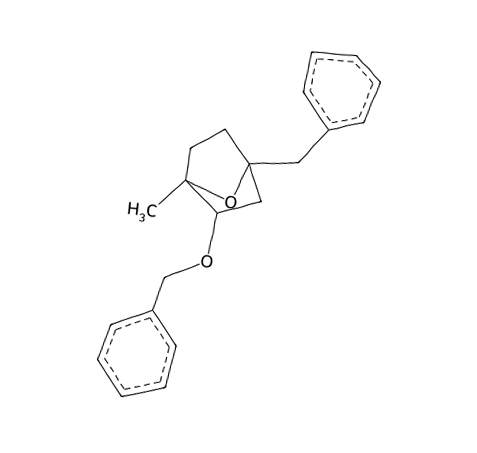 CC12CCC(Cc3ccccc3)(CC1OCc1ccccc1)O2